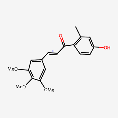 COc1cc(/C=C/C(=O)c2ccc(O)cc2C)cc(OC)c1OC